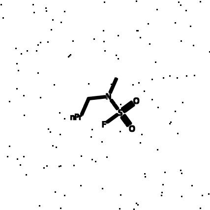 CCCCN(C)S(=O)(=O)F